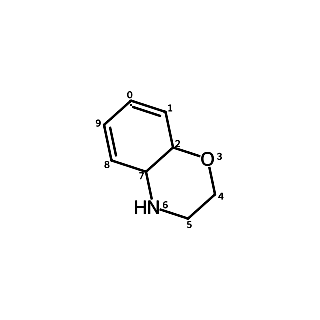 [C]1=CC2OCCNC2C=C1